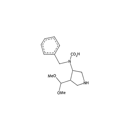 COC(OC)C1CNCC1N(Cc1ccccc1)C(=O)O